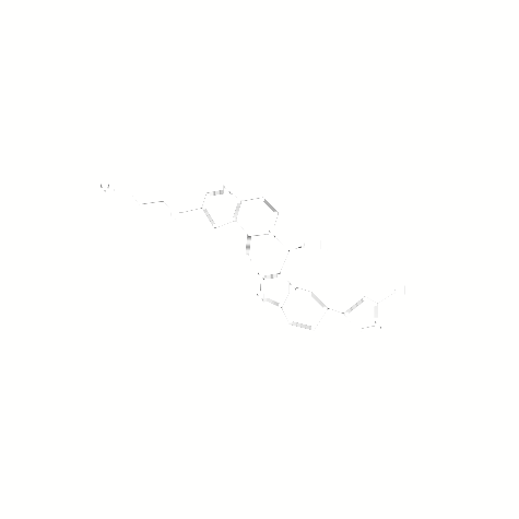 COCCOc1cnc2ccn([C@@H](C)c3nnc4ccc(-c5cc(C)no5)cn34)c(=O)c2c1